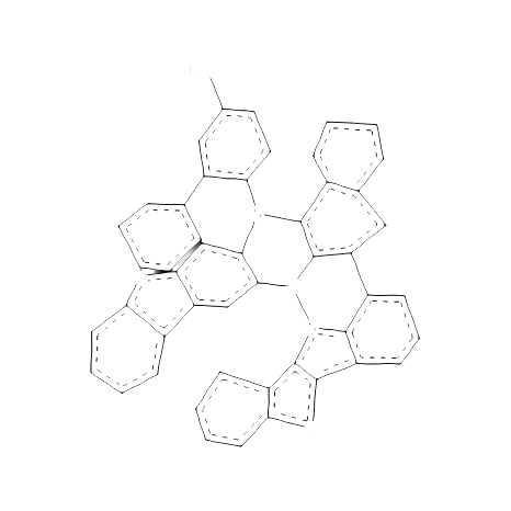 CC(C)(C)c1ccc(N2c3cc4oc5ccccc5c4cc3B3c4c(cc5ccccc5c42)-c2cccc4c5oc6ccccc6c5n3c24)c(-c2ccccc2)c1